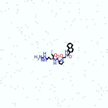 N=C(N)NCCC[C@H](NC(=O)[C@@H]1CCCN1C(=O)CNC(=O)c1ccc2ccccc2c1)C(=O)CF